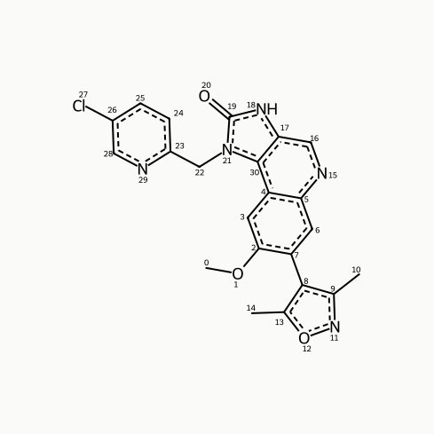 COc1cc2c(cc1-c1c(C)noc1C)ncc1[nH]c(=O)n(Cc3ccc(Cl)cn3)c12